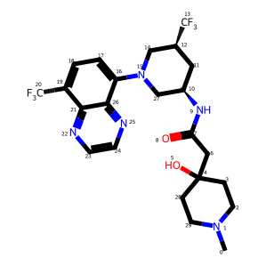 CN1CCC(O)(CC(=O)N[C@@H]2C[C@H](C(F)(F)F)CN(c3ccc(C(F)(F)F)c4nccnc34)C2)CC1